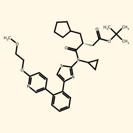 COCCOc1ccc(-c2ccccc2-c2csc(N(C(=O)[C@@H](CC(=O)OC(C)(C)C)CC3CCCC3)C3CC3)n2)cn1